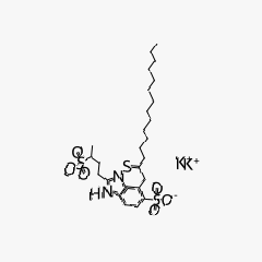 CCCCCCCCCCCCCC(=S)Cc1c(S(=O)(=O)[O-])ccc2[nH]c(CCC(C)S(=O)(=O)[O-])nc12.[K+].[K+]